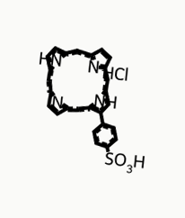 Cl.O=S(=O)(O)c1ccc(-c2cc3cc4nc(cc5ccc(cc6nc(cc2[nH]3)C=C6)[nH]5)C=C4)cc1